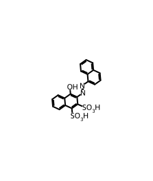 O=S(=O)(O)c1c(N=Nc2cccc3ccccc23)c(O)c2ccccc2c1S(=O)(=O)O